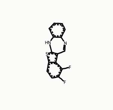 Fc1ccc2sc3c(c2c1F)C=Nc1ccccc1N3